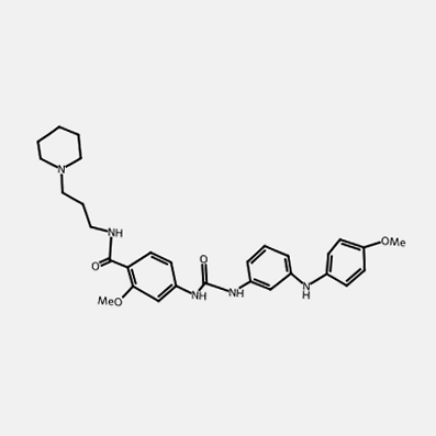 COc1ccc(Nc2cccc(NC(=O)Nc3ccc(C(=O)NCCCN4CCCCC4)c(OC)c3)c2)cc1